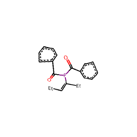 CC/C=C(/CC)P(C(=O)c1ccccc1)C(=O)c1ccccc1